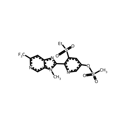 CCS(=O)(=O)c1cc(OS(C)(=O)=O)cnc1-c1nc2cc(C(F)(F)F)ncc2n1C